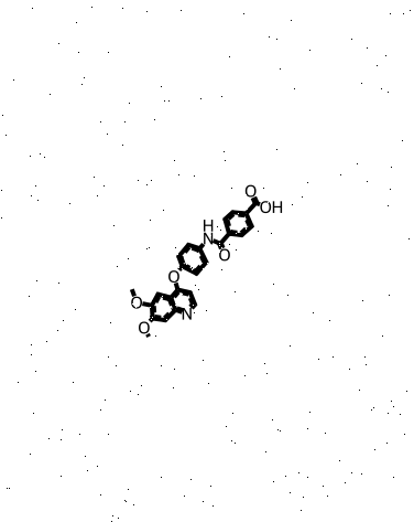 COc1cc2nccc(Oc3ccc(NC(=O)c4ccc(C(=O)O)cc4)cc3)c2cc1OC